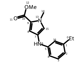 CCc1cccc(Nc2cc(C(=O)OC)n(C)c2)c1